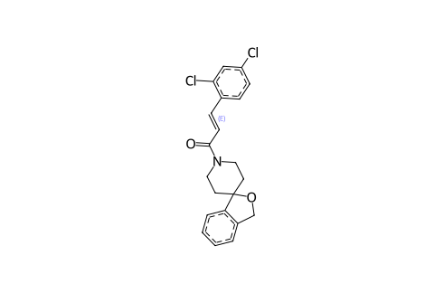 O=C(/C=C/c1ccc(Cl)cc1Cl)N1CCC2(CC1)OCc1ccccc12